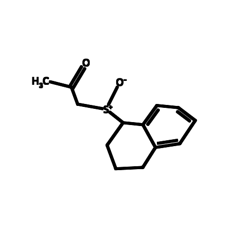 CC(=O)C[S+]([O-])C1CCCc2ccccc21